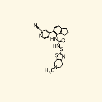 CN1CCc2nc(SNC(=O)Nc3c(-c4ccnc(C#N)c4)ccc4c3CCC4)sc2C1